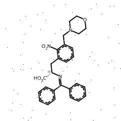 O=C(O)[C@H](Cc1cccc(CN2CCOCC2)c1[N+](=O)[O-])N=C(c1ccccc1)c1ccccc1